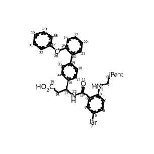 CCCC(C)CNc1ccc(Br)cc1C(=O)NC(CC(=O)O)c1ccc(-c2ccccc2Oc2ccccc2)cc1